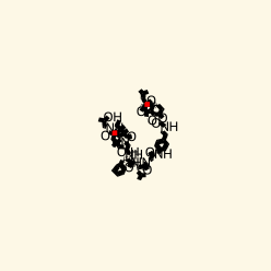 CCC(C)(C)CC(C)(CC(C)(C(=O)NCC(=O)N[C@@H](Cc1ccccc1)C(=O)N[C@@H](CC(C)C)C(=O)NCC(=O)Nc1ccc(CCNC(=O)OC2CC[C@]3(CO3)C(C3(C)O[C@@H]3CC=C(C)C)C2OC)cc1)C(C)(C)CC)C(=O)NCC(C)O